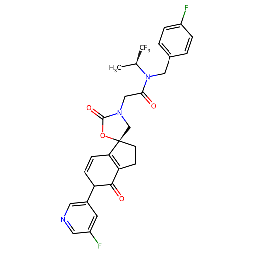 C[C@H](N(Cc1ccc(F)cc1)C(=O)CN1C[C@]2(CCC3=C2C=CC(c2cncc(F)c2)C3=O)OC1=O)C(F)(F)F